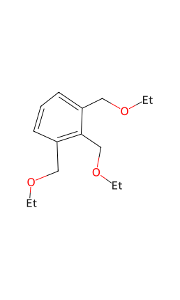 CCOCc1cccc(COCC)c1COCC